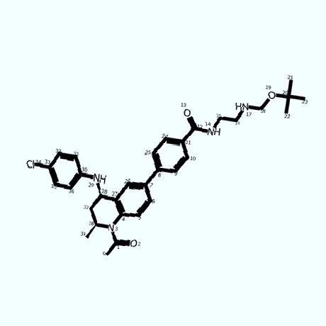 CC(=O)N1c2ccc(-c3ccc(C(=O)NCCNCOC(C)(C)C)cc3)cc2[C@H](Nc2ccc(Cl)cc2)C[C@@H]1C